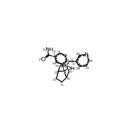 NC(=O)c1cccc(C2(O)C3CCC2CN(Cc2cccnc2)C3)c1